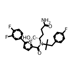 CC(C)(Cc1ccc(F)cc1)N(C(=O)c1ccc(-c2ccc(F)c(F)c2)s1)[C@@H](CCC(N)=O)C(=O)O